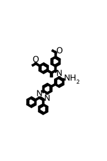 C=C(/C(=N\c1cc(-c2ccc3nc(-c4ccccc4)c(-c4ccccc4)nc3c2)ccc1N)c1ccc(C(C)=O)cc1)c1ccc(C(C)=O)cc1